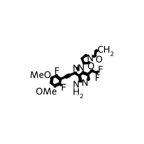 C=CC(=O)N1CC[C@H](n2nc(C#Cc3c(F)c(OC)cc(OC)c3F)c3c(N)ncc(C(=O)C(F)F)c32)C1